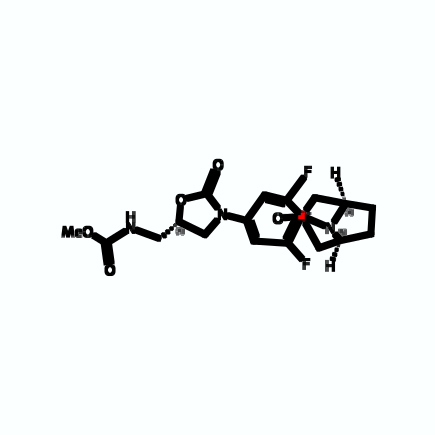 COC(=O)NC[C@H]1CN(c2cc(F)c(N3[C@@H]4CC[C@H]3C[S+]([O-])C4)c(F)c2)C(=O)O1